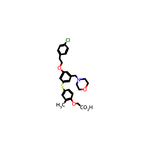 Cc1cc(Sc2cc(CN3CCOCC3)cc(OCCc3ccc(Cl)cc3)c2)ccc1OCC(=O)O